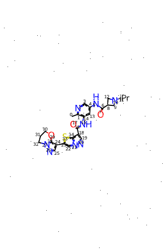 Cc1ncc(NC(=O)C2CN(C(C)C)C2)cc1NC(=O)c1cnn2cc(-c3cnn4c3OCCC4)sc12